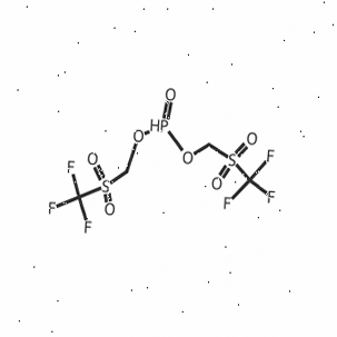 O=[PH](OCS(=O)(=O)C(F)(F)F)OCS(=O)(=O)C(F)(F)F